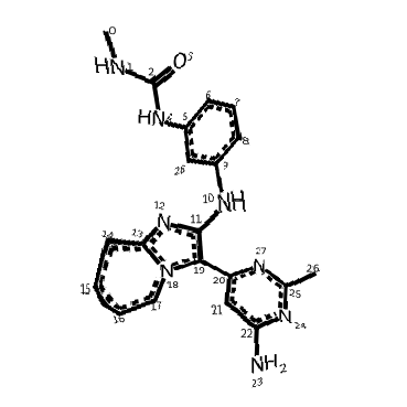 CNC(=O)Nc1cccc(Nc2nc3ccccn3c2-c2cc(N)nc(C)n2)c1